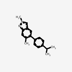 Cc1cc2nn(C)cc2cc1-c1ccc(C(C)C)cc1